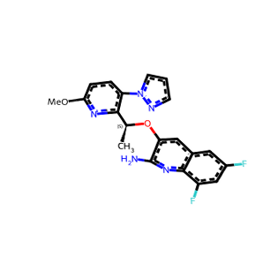 COc1ccc(-n2cccn2)c([C@H](C)Oc2cc3cc(F)cc(F)c3nc2N)n1